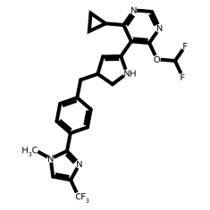 Cn1cc(C(F)(F)F)nc1-c1ccc(CC2C=C(c3c(OC(F)F)ncnc3C3CC3)NC2)cc1